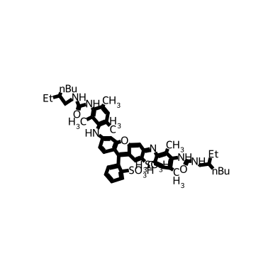 CCCCC(CC)CNC(=O)Nc1c(C)cc(C)c(/N=c2/cc3oc4cc(Nc5c(C)cc(C)c(NC(=O)NCC(CC)CCCC)c5C)ccc4c(-c4ccccc4S(=O)(=O)O)c-3cc2S(=O)(=O)O)c1C